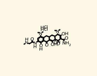 CNCC(=O)Nc1cc(N(C)C)c2c(c1O)C(=O)C1=C(O)C3(O)C(=O)C(C(N)=O)=C(O)[C@@H](N(C)C)C3CC1C2.Cl.Cl